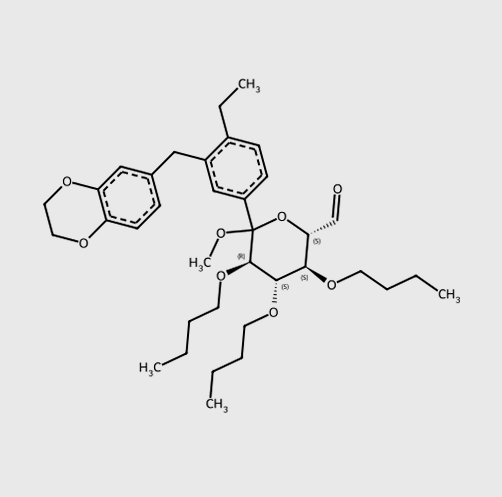 CCCCO[C@H]1[C@H](OCCCC)[C@@H](C=O)OC(OC)(c2ccc(CC)c(Cc3ccc4c(c3)OCCO4)c2)[C@@H]1OCCCC